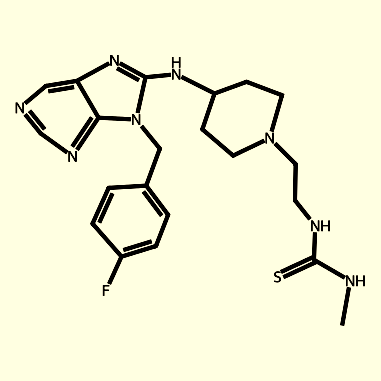 CNC(=S)NCCN1CCC(Nc2nc3cncnc3n2Cc2ccc(F)cc2)CC1